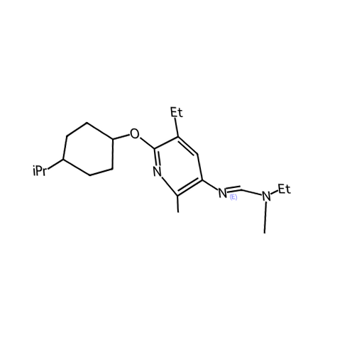 CCc1cc(/N=C/N(C)CC)c(C)nc1OC1CCC(C(C)C)CC1